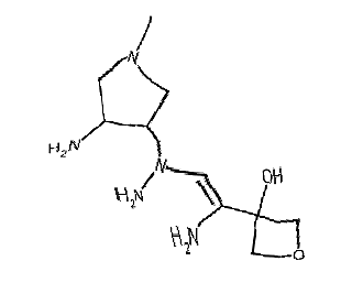 CN1CC(N)C(N(N)/C=C(\N)C2(O)COC2)C1